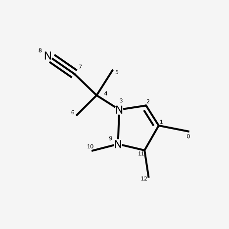 CC1=CN(C(C)(C)C#N)N(C)C1C